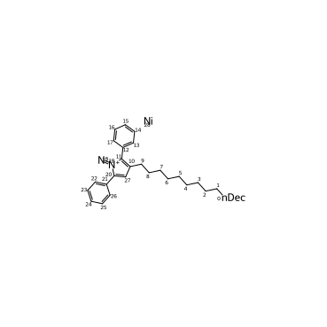 CCCCCCCCCCCCCCCCCCCC1=C(c2ccccc2)[N+](=[N-])C(c2ccccc2)=C1.[Ni]